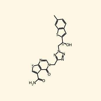 Cc1ccc2cc([C@@H](O)Cn3nnc(Cn4cnc5scc(C(N)=O)c5c4=O)n3)sc2c1